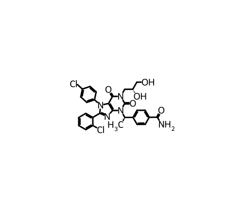 C[C@H](c1ccc(C(N)=O)cc1)n1c(=O)n(C[C@@H](O)CO)c(=O)c2c1nc(-c1ccccc1Cl)n2-c1ccc(Cl)cc1